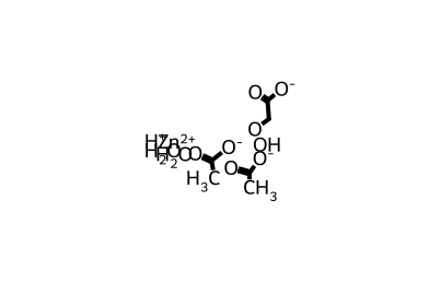 CC(=O)[O-].CC(=O)[O-].O.O.O=C([O-])COO.[H+].[Zn+2]